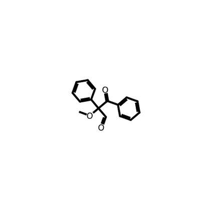 COC(C=O)(C(=O)c1ccccc1)c1ccccc1